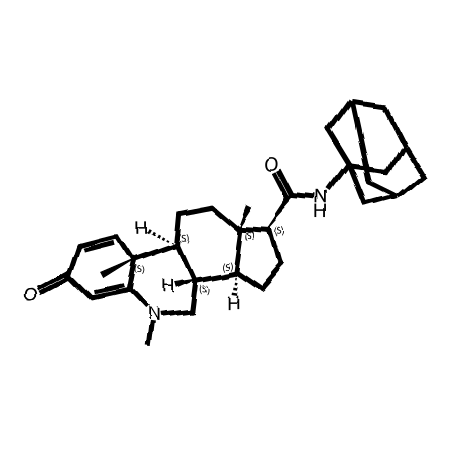 CN1C[C@H]2[C@@H]3CC[C@H](C(=O)NC45CC6CC(CC(C6)C4)C5)[C@@]3(C)CC[C@@H]2[C@@]2(C)C=CC(=O)C=C12